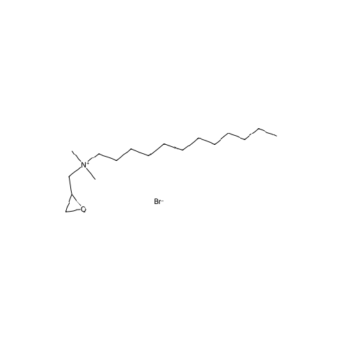 CCCCCCCCCCCC[N+](C)(C)CC1CO1.[Br-]